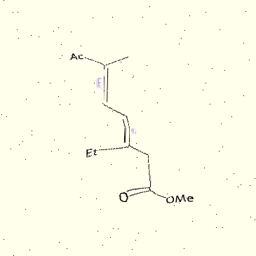 CC/C(=C\C=C(/C)C(C)=O)CC(=O)OC